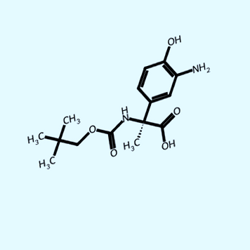 CC(C)(C)COC(=O)N[C@](C)(C(=O)O)c1ccc(O)c(N)c1